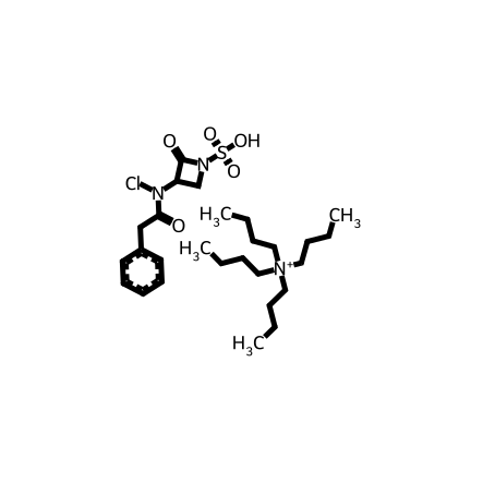 CCCC[N+](CCCC)(CCCC)CCCC.O=C(Cc1ccccc1)N(Cl)C1CN(S(=O)(=O)O)C1=O